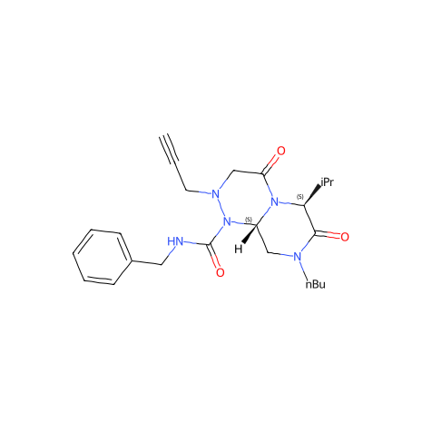 C#CCN1CC(=O)N2[C@@H](C(C)C)C(=O)N(CCCC)C[C@@H]2N1C(=O)NCc1ccccc1